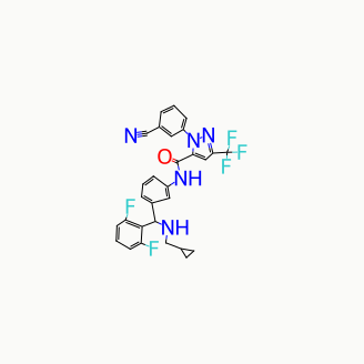 N#Cc1cccc(-n2nc(C(F)(F)F)cc2C(=O)Nc2cccc(C(NCC3CC3)c3c(F)cccc3F)c2)c1